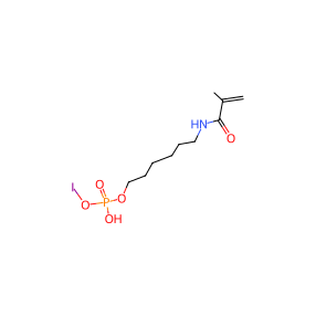 C=C(C)C(=O)NCCCCCCOP(=O)(O)OI